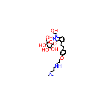 CN(C)CCCNCCCOc1ccc(CCc2cccc3c2c(O[C@@H]2O[C@H](CO)[C@@H](O)[C@H](O)[C@H]2O)nn3CCO)cc1